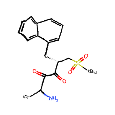 CC(C)[C](N)C(=O)C(=O)[C@H](Cc1cccc2ccccc12)CS(=O)(=O)C(C)(C)C